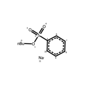 CCCCOS(=O)(=O)c1ccccc1.[Na]